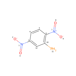 O=[N+]([O-])c1ccc([N+](=O)[O-])c(P)c1